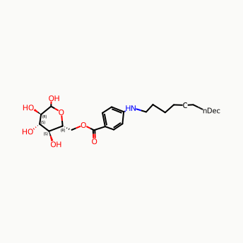 CCCCCCCCCCCCCCCCNc1ccc(C(=O)OC[C@H]2OC(O)[C@H](O)[C@@H](O)[C@@H]2O)cc1